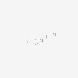 CN(C)C1CCN(c2ccc3cc(CN4CCCC4)ccc3n2)CC1